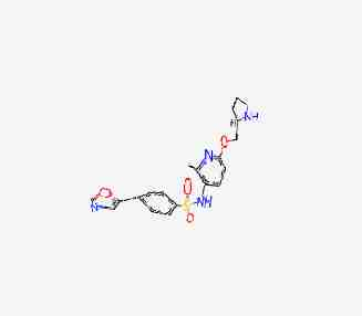 Cc1nc(OC[C@H]2CCCN2)ccc1NS(=O)(=O)c1ccc(-c2cnco2)cc1